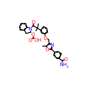 Cc1oc(-c2ccc(C(N)=O)cc2)nc1COc1cccc(C(C)(C)C(=O)N2c3ccccc3C[C@H]2OC(=O)O)c1